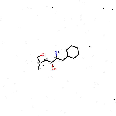 CC(C)[C@H]1CO[C@@H]1[C@H](O)[C@@H](N)CC1CCCCC1